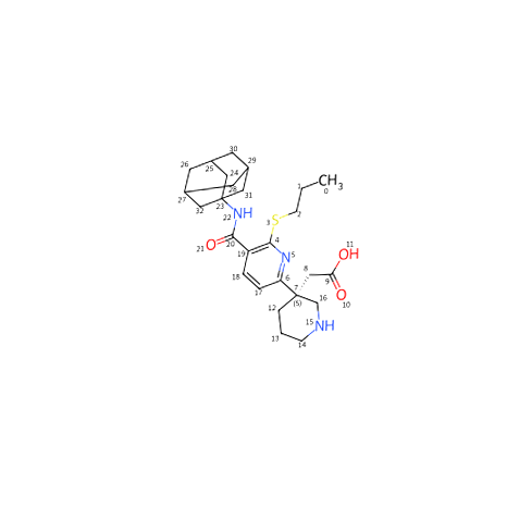 CCCSc1nc([C@]2(CC(=O)O)CCCNC2)ccc1C(=O)NC12CC3CC(CC(C3)C1)C2